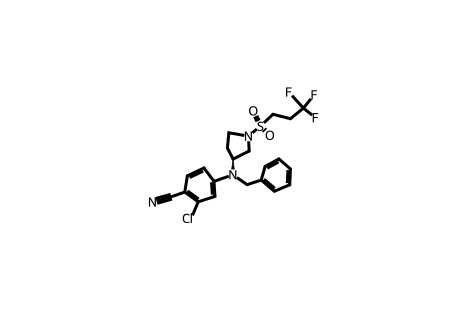 N#Cc1ccc(N(Cc2ccccc2)[C@H]2CCN(S(=O)(=O)CCC(F)(F)F)C2)cc1Cl